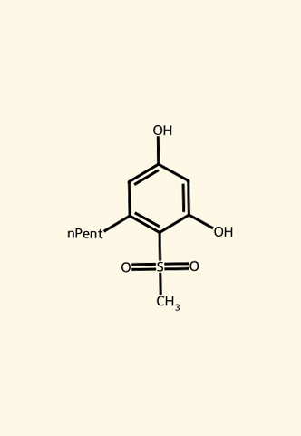 CCCCCc1cc(O)cc(O)c1S(C)(=O)=O